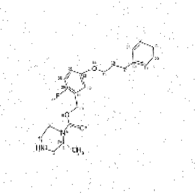 C[C@@H]1CNCCN1C(=O)OCc1cc(OCCCc2ccccc2)ccc1F